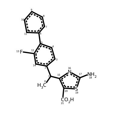 CC(c1ccc(-c2ccccc2)c(F)c1)c1nc(N)sc1C(=O)O